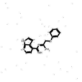 N=C(/N=C(\P)CSc1ccccc1)c1ccnc2[nH]ccc12